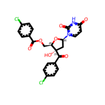 O=C(OC[C@H]1O[C@@H](n2ccc(=O)[nH]c2=O)C[C@@]1(O)C(=O)c1ccc(Cl)cc1)c1ccc(Cl)cc1